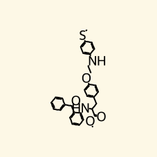 COC(=O)C(Cc1ccc(OCCNc2ccc(SC)cc2)cc1)Nc1ccccc1C(=O)c1ccccc1